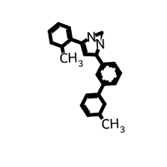 CC1C=CC=C(c2cccc(C3C=C(C4=CC=CCC4C)N4C[N@@]34)c2)C1